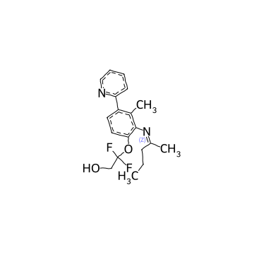 CCC/C(C)=N\c1c(OC(F)(F)CO)ccc(-c2ccccn2)c1C